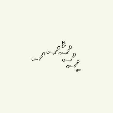 O.O=P[O-].O=P[O-].O=P[O-].O=P[O-].O=P[O-].[V+5]